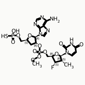 COOP(=O)(OC[C@H]1O[C@@H](n2ccc(=O)[nH]c2=O)[C@H](C)[C@@H]1F)O[C@@H]1C[C@@H](COP(=O)(O)S)O[C@H]1n1cnc2c(N)ncnc21